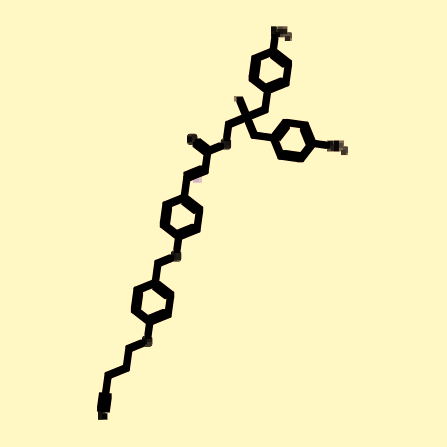 [CH2]C(COC(=O)/C=C/c1ccc(OCc2ccc(OCCCC#N)cc2)cc1)(Cc1ccc(N)cc1)Cc1ccc(N)cc1